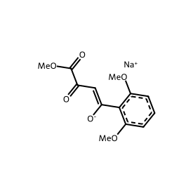 COC(=O)C(=O)/C=C(\[O-])c1c(OC)cccc1OC.[Na+]